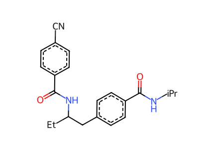 CCC(Cc1ccc(C(=O)NC(C)C)cc1)NC(=O)c1ccc(C#N)cc1